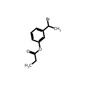 CCC(=O)Oc1cccc(C(C)Br)c1